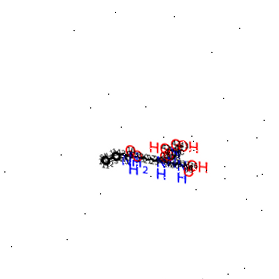 N[C@H](Cc1ccc(-c2ccccc2)cc1)C(=O)NOCCCCCCNC(=O)CN(CCNCC(=O)O)CCN(CC(=O)O)CC(=O)O